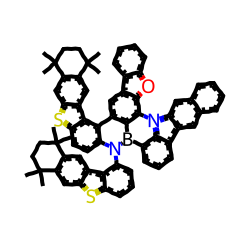 CC1(C)CCC(C)(C)c2cc3c(cc21)sc1cccc(N2B4c5c(cc6c(oc7ccccc76)c5-n5c6cc7ccccc7cc6c6cccc4c65)-c4c2ccc2sc5cc6c(cc5c42)C(C)(C)CCC6(C)C)c13